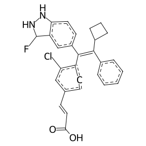 O=C(O)/C=C/c1ccc(/C(=C(\c2ccccc2)C2CCC2)c2ccc3c(c2)C(F)NN3)c(Cl)c1